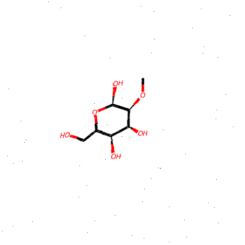 CO[C@H]1[C@@H](O)[C@@H](O)C(CO)O[C@H]1O